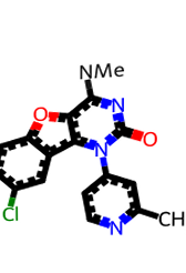 CNc1nc(=O)n(-c2ccnc(C)c2)c2c1oc1ccc(Cl)cc12